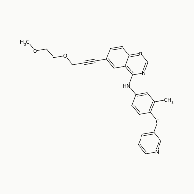 COCCOCC#Cc1ccc2ncnc(Nc3ccc(Oc4cccnc4)c(C)c3)c2c1